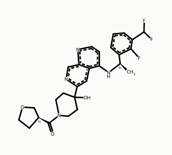 C[C@@H](Nc1ccnc2cnc(C3(O)CCN(C(=O)[C@H]4CCOC4)CC3)cc12)c1cccc(C(F)F)c1F